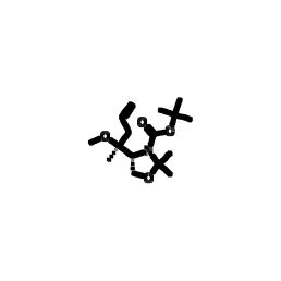 C=CC[C@](C)(OC)[C@H]1COC(C)(C)N1C(=O)OC(C)(C)C